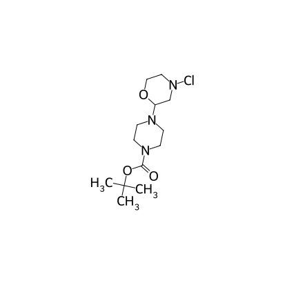 CC(C)(C)OC(=O)N1CCN(C2CN(Cl)CCO2)CC1